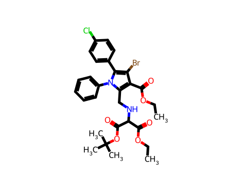 CCOC(=O)c1c(Br)c(-c2ccc(Cl)cc2)n(-c2ccccc2)c1CNC(C(=O)OCC)C(=O)OC(C)(C)C